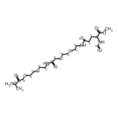 COC(=O)C(CCC(=O)NCCOCCOCC(=O)NCCOCCOCC(=O)C(C)C)NC=O